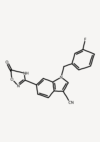 N#Cc1cn(Cc2cccc(F)c2)c2cc(-c3noc(=O)[nH]3)ccc12